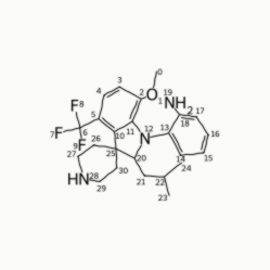 COc1ccc(C(F)(F)F)c2c1N(c1ccccc1N)C(CC(C)C)C21CCNCC1